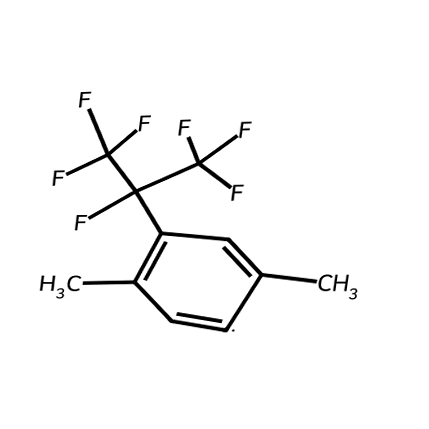 Cc1[c]cc(C)c(C(F)(C(F)(F)F)C(F)(F)F)c1